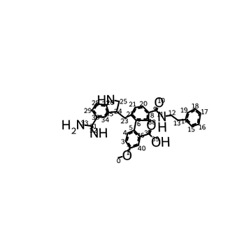 COc1ccc(-c2cc(C(=O)NCCc3ccccc3)ccc2CC2CNc3ccc(C(=N)N)cc32)c(C(=O)O)c1